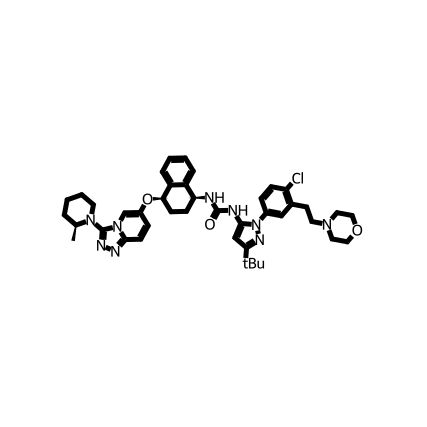 C[C@H]1CCCCN1c1nnc2ccc(O[C@@H]3CC[C@H](NC(=O)Nc4cc(C(C)(C)C)nn4-c4ccc(Cl)c(CCN5CCOCC5)c4)c4ccccc43)cn12